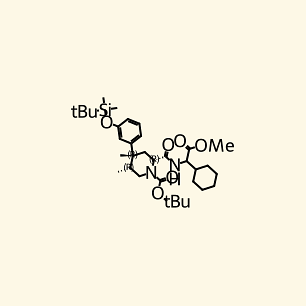 COC(=O)C(NC(=O)[C@H]1C[C@@](C)(c2cccc(O[Si](C)(C)C(C)(C)C)c2)[C@@H](C)CN1C(=O)OC(C)(C)C)C1CCCCC1